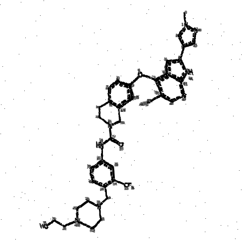 Cn1cc(-c2cc3c(Oc4ccc5c(c4)CN(C(=O)Nc4ccc(CN6CCN(CCO)CC6)c(C(F)(F)F)c4)CC5)c(F)cnc3[nH]2)cn1